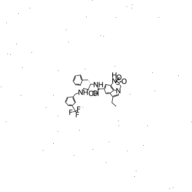 CCc1cn2c3c(cc(C(=O)N[C@@H](Cc4ccccc4)[C@H](O)CNCc4cccc(C(F)(F)F)c4)cc13)NS(=O)(=O)C2